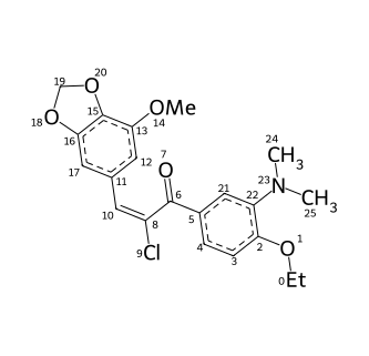 CCOc1ccc(C(=O)/C(Cl)=C\c2cc(OC)c3c(c2)OCO3)cc1N(C)C